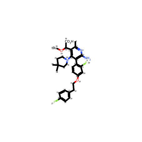 Cc1nc(N)c(-c2ccc(OCCc3ccc(F)cc3)cc2F)c(N2CCC(C)(C)CC2)c1C(OC(C)(C)C)C(=O)O